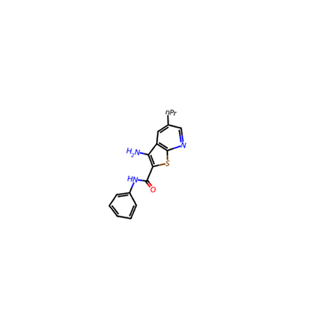 CCCc1cnc2sc(C(=O)Nc3ccccc3)c(N)c2c1